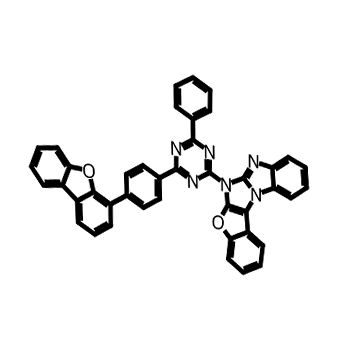 c1ccc(-c2nc(-c3ccc(-c4cccc5c4oc4ccccc45)cc3)nc(-n3c4oc5ccccc5c4n4c5ccccc5nc34)n2)cc1